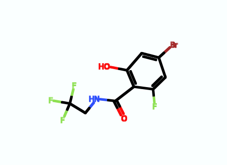 O=C(NCC(F)(F)F)c1c(O)cc(Br)cc1F